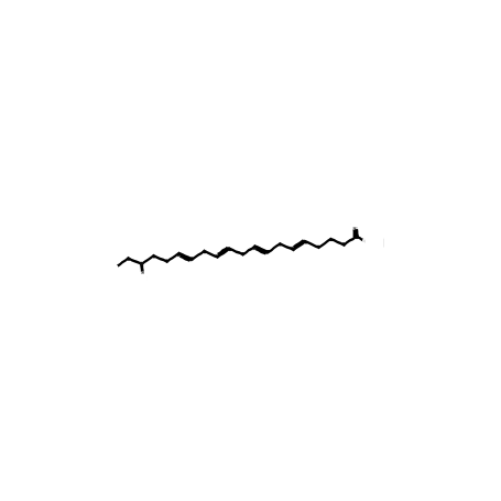 CCC(O)CCC=CCC=CCC=CCC=CCCCC(=O)O